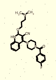 CN(C)CCCOC1Nc2ccccc2C(N2CCN(C(=O)c3ccc(F)cc3)CC2)=C1C#N